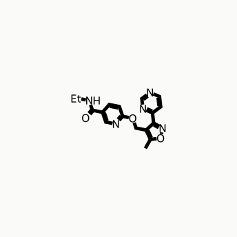 CCNC(=O)c1ccc(OCc2c(-c3ccncn3)noc2C)nc1